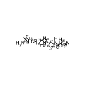 Nc1nc(CON=Cc2ccn3c(-c4cccc(NC(=O)NCC(F)(F)F)c4)cnc3c2)cs1